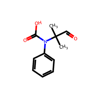 CC(C)(C=O)N(C(=O)O)c1ccccc1